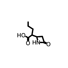 CCCC(C(=O)O)C1CC(=O)N1